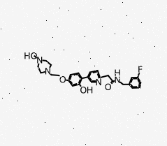 O=C(Cc1ccc(-c2ccc(OCCN3CCN(O)CC3)cc2O)cn1)NCc1cccc(F)c1